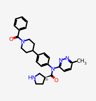 Cc1ccc(N(C(=O)[C@H]2CCNC2)c2ccc(C3CCN(C(=O)c4ccccc4)CC3)cc2)nn1